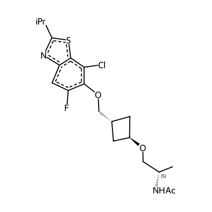 CC(=O)N[C@@H](C)CO[C@H]1C[C@H](COc2c(F)cc3nc(C(C)C)sc3c2Cl)C1